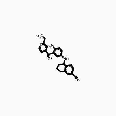 CCc1cc(C(=N)c2cc(NC3CCCc4cc(C#N)ccc43)ccc2N)ccn1